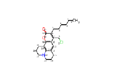 CCCCCCc1c(CCl)c2cc3c4c(c2oc1=O)CCCN4CCC3